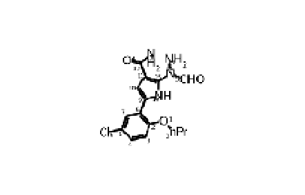 CCCOc1ccc(Cl)cc1-c1cc(C(N)=O)c(N(N)C=O)[nH]1